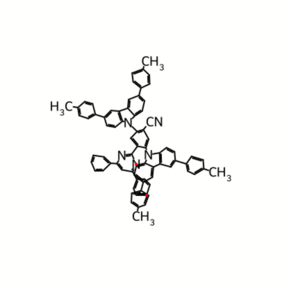 Cc1ccc(-c2ccc3c(c2)c2cc(-c4ccc(C)cc4)ccc2n3-c2cc(-c3nc(-c4ccccc4)cc(-c4ccccc4)n3)c(-n3c4ccc(-c5ccc(C)cc5)cc4c4cc(-c5ccc(C)cc5)ccc43)cc2C#N)cc1